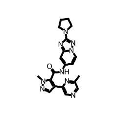 Cc1cncc(-c2cnn(C)c2C(=O)Nc2ccn3nc(N4CCCC4)nc3c2)n1